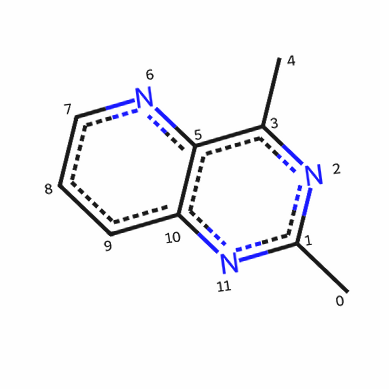 Cc1nc(C)c2ncccc2n1